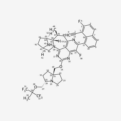 C#Cc1c(F)ccc2cccc(-c3nc4c5c(nc(OC[C@@]67CCCN6[C@H](COC(C)(C(F)(F)F)C(F)(F)F)CC7)nc5c3F)N3C[C@H]5CC[C@H](N5)[C@@H]3[C@@H](C)C4)c12